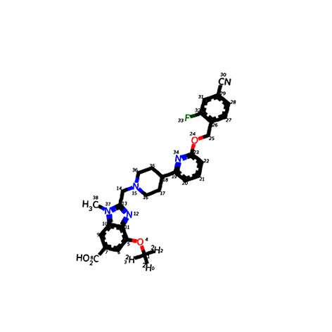 [2H]C([2H])([2H])Oc1cc(C(=O)O)cc2c1nc(CN1CCC(c3cccc(OCc4ccc(C#N)cc4F)n3)CC1)n2C